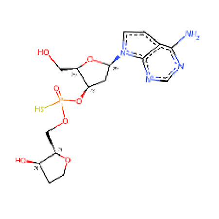 Nc1ncnc2c1ccn2[C@H]1C[C@@H](OP(=O)(S)OC[C@H]2OCC[C@H]2O)[C@@H](CO)O1